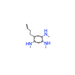 C=CCCc1cc(NC)c(NC)cc1NC